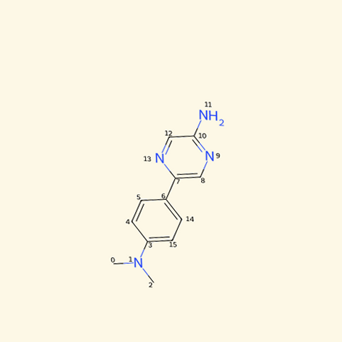 CN(C)c1ccc(-c2cnc(N)cn2)cc1